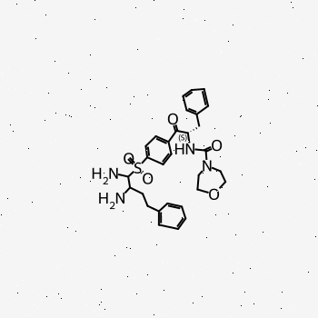 NC(CCc1ccccc1)C(N)S(=O)(=O)c1ccc(C(=O)[C@H](Cc2ccccc2)NC(=O)N2CCOCC2)cc1